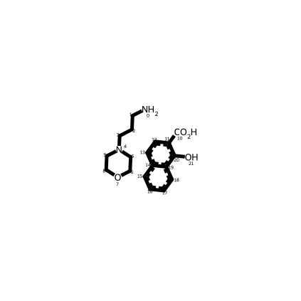 NCCCN1CCOCC1.O=C(O)c1ccc2ccccc2c1O